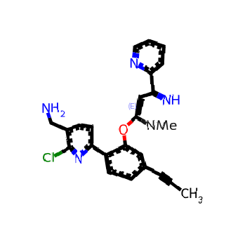 CC#Cc1ccc(-c2ccc(CN)c(Cl)n2)c(O/C(=C/C(=N)c2ccccn2)NC)c1